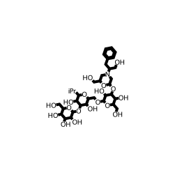 CC(C)C1OC(COC2OC(CO)C(O)C(OC3CN(C(CO)Cc4ccccc4)CC(CO)O3)C2O)C(O)C(OC2OC(CO)C(O)C(O)C2O)C1O